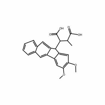 COc1cc2c(cc1OC)C(C(C(=O)O)C(C)C(=O)O)c1cc3ccccc3cc1-2